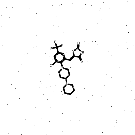 O=C1NC(=O)C(=Cc2cc(C(F)(F)F)cc(Cl)c2N2CCC(N3CCCCC3)CC2)S1